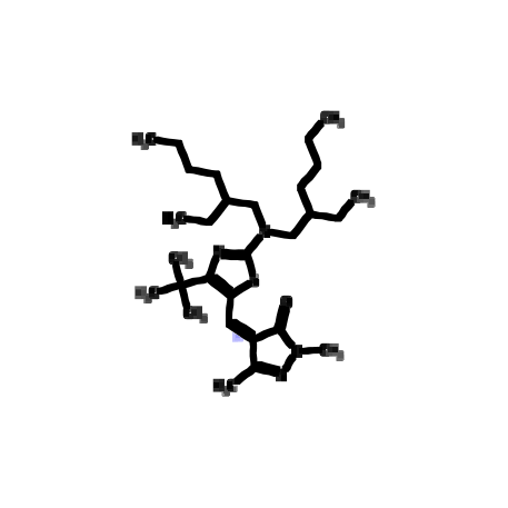 CCCCC(CC)CN(CC(CC)CCCC)c1nc(C(C)(C)C)c(/C=C2\C(=O)N(C)N=C2C)s1